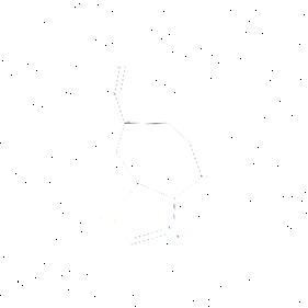 C=CC1CCCC2N=CSC2C1